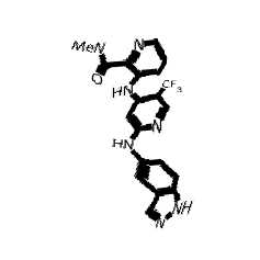 CNC(=O)c1ncccc1Nc1cc(Nc2ccc3[nH]ncc3c2)ncc1C(F)(F)F